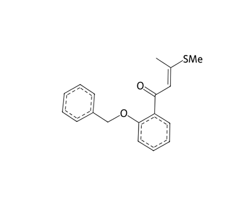 CS/C(C)=C/C(=O)c1ccccc1OCc1ccccc1